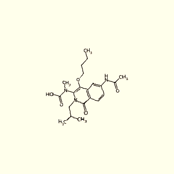 CCCCOc1c(N(C)C(=O)O)n(CC(C)C)c(=O)c2ccc(NC(C)=O)cc12